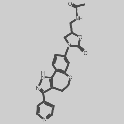 CC(=O)NCC1CN(c2ccc3c(c2)OCCc2c(-c4ccncc4)n[nH]c2-3)C(=O)O1